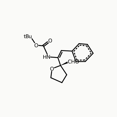 CC(C)(C)OC(=O)NC(=Cc1ccccc1)[C@]1(C=O)CCCO1